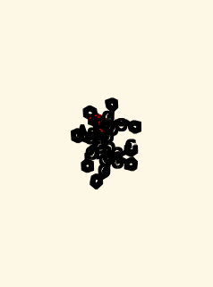 CC(=O)OC1C(OCc2ccccc2)[C@H](OCc2ccccc2)C(COCc2ccccc2)O[C@@H]1OC1C(OCc2ccccc2)[C@H](OCc2ccccc2)C(COCc2ccccc2)O[C@@H]1OC1C(OCc2ccccc2)[C@H](OCc2ccccc2)C(COCc2ccccc2)O[C@@H]1F